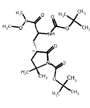 CON(C)C(=O)C(C[C@H]1CC(C)(C)N(C(=O)OC(C)(C)C)C1=O)NC(=O)OC(C)(C)C